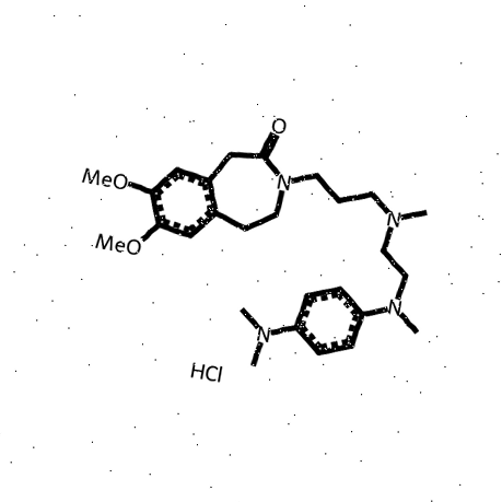 COc1cc2c(cc1OC)CC(=O)N(CCCN(C)CCN(C)c1ccc(N(C)C)cc1)CC2.Cl